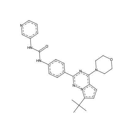 CC(C)(C)c1ccc2c(N3CCOCC3)nc(-c3ccc(NC(=O)Nc4cccnc4)cc3)nn12